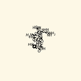 CC(C)C[C@H](NC(=O)[C@H](CC(=O)O)NC(=O)[C@H](CCCCN)NC(=O)[C@H](CC(=O)O)NC(=O)[C@@H](N)CCCNC(=N)N)C(=O)N[C@@H](C)C(=O)N[C@@H](Cc1ccc(O)cc1)C(=O)O